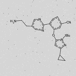 CC(C)(C)n1nc(C2CC2)cc1Oc1cc(C#N)ccc1-c1ncc(CCN)cn1